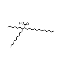 CCCCCCCCCCCCC(C(=O)O)C(CCCCCC)CCCCCCCCC